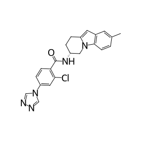 Cc1ccc2c(c1)cc1n2C[C@H](NC(=O)c2ccc(-n3cnnc3)cc2Cl)CC1